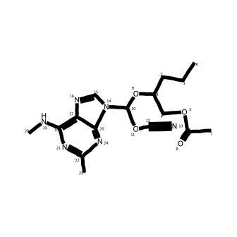 CCCC(COC(C)=O)OC(OC#N)n1cnc2c(NC)nc(C)nc21